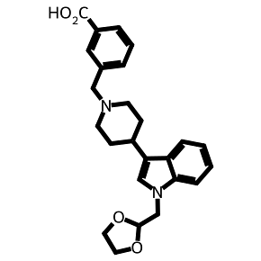 O=C(O)c1cccc(CN2CCC(c3cn(CC4OCCO4)c4ccccc34)CC2)c1